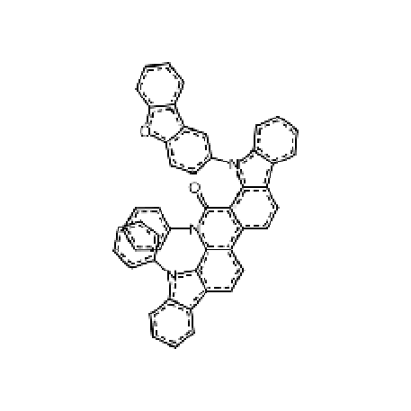 O=c1c2c(ccc3c4ccccc4n(-c4ccc5oc6ccccc6c5c4)c32)c2ccc3c4ccccc4n(-c4ccccc4)c3c2n1-c1ccccc1